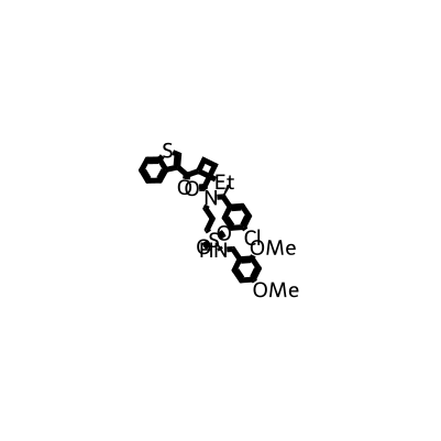 CCC1(C(=O)N(CCCS(=O)(=O)NCc2ccc(OC)cc2OC)[C@@H](C)c2ccc(Cl)cc2)CCC1C(=O)c1csc2ccccc12